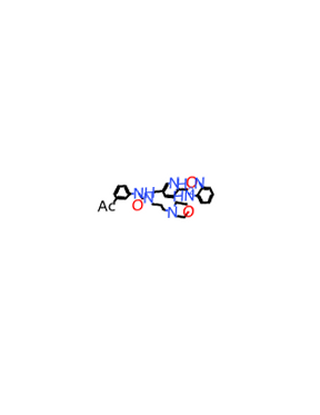 CC(=O)c1cccc(NC(=O)N(CCCN2CCOCC2)Cc2ccc(C(=O)Nc3ccccc3N)nc2)c1